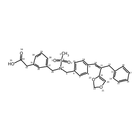 CS(=O)(=O)N(Cc1ccc(C=C(Cc2ccccc2)C2=COCO2)cc1)Cc1cccc(CC(=O)O)c1